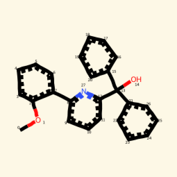 COc1ccccc1-c1cccc(C(O)(c2ccccc2)c2ccccc2)n1